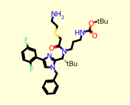 CC(C)(C)OC(=O)NCCCN(C(=O)CSCCN)[C@@H](c1nc(-c2cc(F)ccc2F)cn1Cc1ccccc1)C(C)(C)C